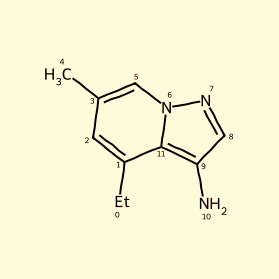 CCc1cc(C)cn2ncc(N)c12